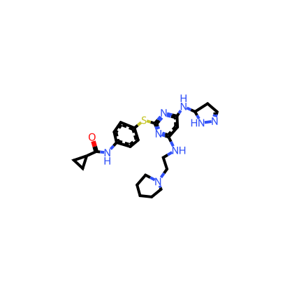 O=C(Nc1ccc(Sc2nc(NCCN3CCCCC3)cc(NC3CC=NN3)n2)cc1)C1CC1